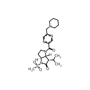 CC(C)[C@H]1C(=O)N(S(C)(=O)=O)[C@H]2CCN(C(=O)c3cnc(CN4CCCCC4)cn3)[C@H]12